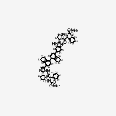 COC(=O)N[C@H](C(=O)N1CCC[C@H]1c1ncc(-c2ccc(-c3ccc(-c4ccc5nc([C@@H]6CCCN6C(=O)[C@@H](NC(=O)OC)c6ccccc6)[nH]c5c4)c4c3C3CCC4C3)c3c2C2CCC3C2)[nH]1)c1ccccc1